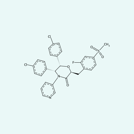 CS(=O)(=O)c1ccc(C[C@@H]2O[C@@H](c3ccc(Cl)cc3)[C@@H](c3ccc(Cl)cc3)N(c3cccnc3)C2=O)c(F)c1